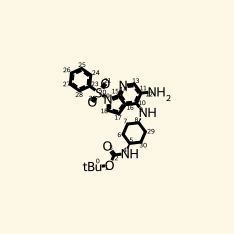 CC(C)(C)OC(=O)N[C@H]1CC[C@H](Nc2c(N)cnc3c2ccn3S(=O)(=O)c2ccccc2)CC1